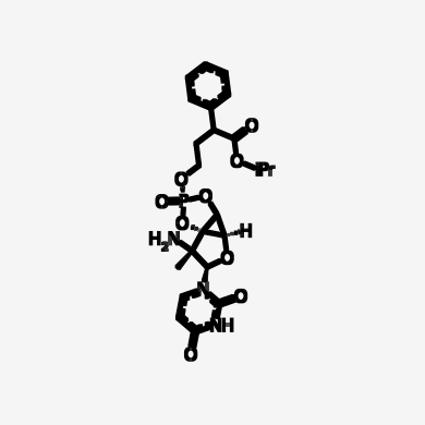 CC(C)OC(=O)C(CCO[P@]1(=O)OC2[C@H]3O[C@@H](n4ccc(=O)[nH]c4=O)[C@](C)(N)[C@@]23O1)c1ccccc1